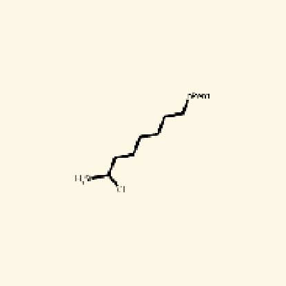 CCCCCCCCCCCC([SiH3])Cl